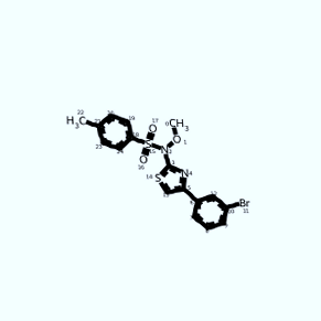 CON(c1nc(-c2cccc(Br)c2)cs1)S(=O)(=O)c1ccc(C)cc1